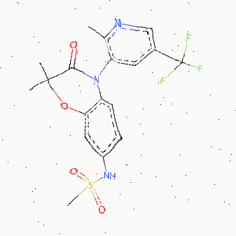 Cc1ncc(C(F)(F)F)cc1N1C(=O)C(C)(C)Oc2cc(NS(C)(=O)=O)ccc21